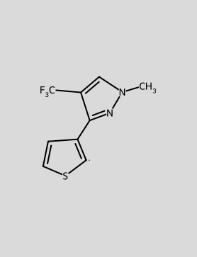 Cn1cc(C(F)(F)F)c(-c2[c]scc2)n1